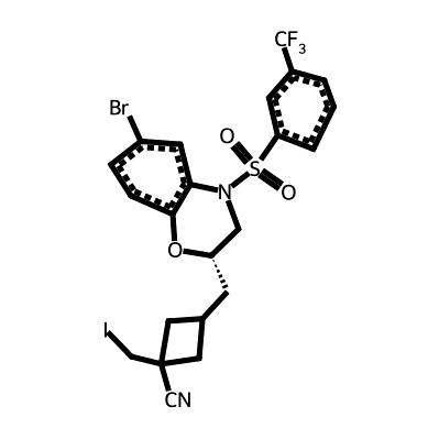 N#CC1(CI)CC(C[C@H]2CN(S(=O)(=O)c3cccc(C(F)(F)F)c3)c3cc(Br)ccc3O2)C1